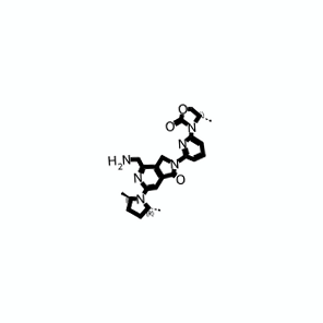 C[C@@H]1CC[C@@H](C)N1c1cc2c(c(CN)n1)CN(c1cccc(N3C(=O)OC[C@@H]3C)n1)C2=O